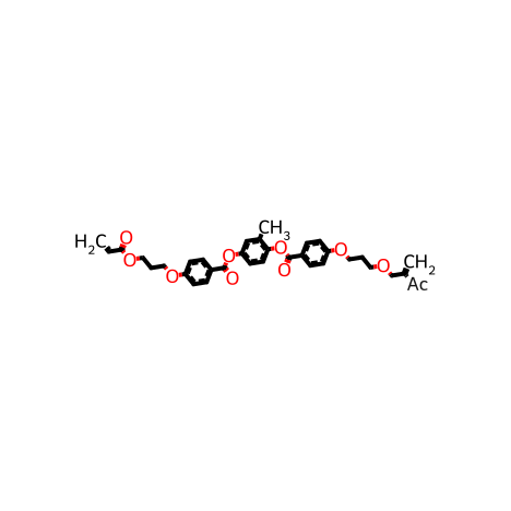 C=CC(=O)OCCCOc1ccc(C(=O)Oc2ccc(OC(=O)c3ccc(OCCCOCC(=C)C(C)=O)cc3)c(C)c2)cc1